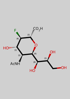 CC(=O)N[C@H]1[C@H](O)[C@@H](F)[C@H](C(=O)O)O[C@H]1[C@H](O)[C@@H](O)CO